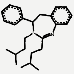 CC(C)CCC1=Nc2ccccc2CC(c2ccccc2)N1CCC(C)C